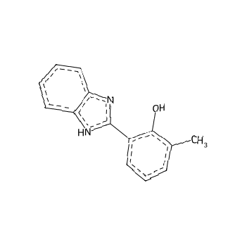 Cc1cccc(-c2nc3ccccc3[nH]2)c1O